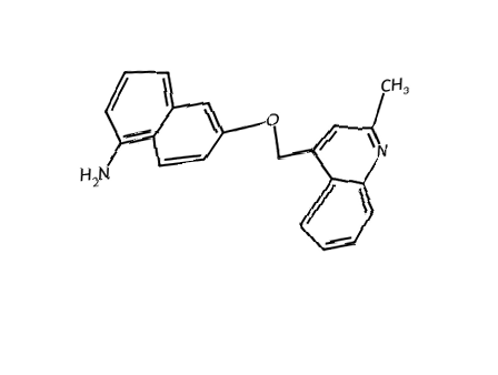 Cc1cc(COc2ccc3c(N)cccc3c2)c2ccccc2n1